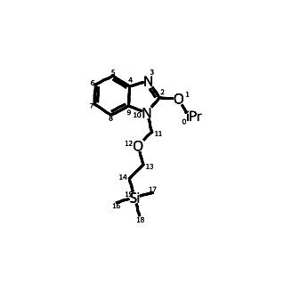 CC(C)Oc1nc2ccccc2n1COCC[Si](C)(C)C